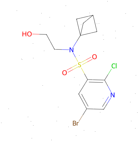 O=S(=O)(c1cc(Br)cnc1Cl)N(CCO)C12CC(C1)C2